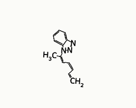 C=C/C=C\C=C(\C)n1nnc2ccccc21